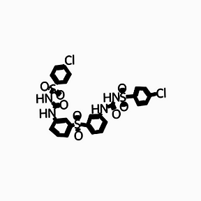 O=C(Nc1cccc(S(=O)(=O)c2cccc(NC(=O)NS(=O)(=O)c3ccc(Cl)cc3)c2)c1)NS(=O)(=O)c1ccc(Cl)cc1